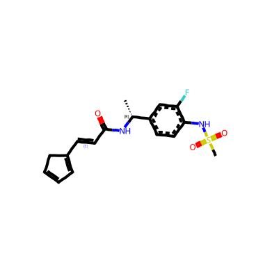 C[C@@H](NC(=O)/C=C/C1=CC=CC1)c1ccc(NS(C)(=O)=O)c(F)c1